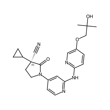 CC(C)(O)COc1ccc(Nc2cc(N3CC[C@@](C#N)(C4CC4)C3=O)ccn2)nc1